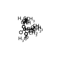 COc1ccc2c(c1)[C@H](C)[C@@](C)(NC(=O)OC(C)(C)C)Cn1c-2c(C2CCCCC2)c2ccc(C(=O)NS(=O)(=O)N(C)C)cc21